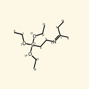 CCO[Si](CCN=C(C)CC)(OCC)OCC